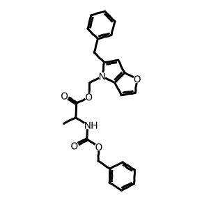 CC(NC(=O)OCc1ccccc1)C(=O)OCn1c(Cc2ccccc2)cc2occc21